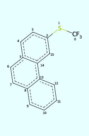 FC(F)(F)Sc1ccc2ccc3ccccc3c2c1